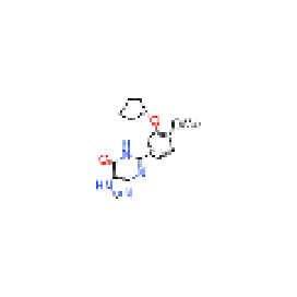 COc1ccc(-c2nc3nc[nH]c3c(=O)[nH]2)cc1OC1CCCC1